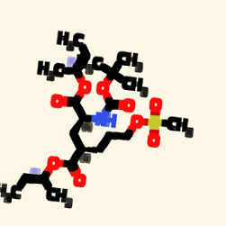 C/C=C(\C)OC(=O)[C@@H](CCCOS(C)(=O)=O)C[C@H](NC(=O)OC(C)(C)C)C(=O)O/C(C)=C/C